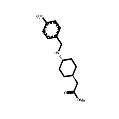 COC(=O)C[C@H]1CC[C@H](NCc2ccc([N+](=O)[O-])cc2)CC1